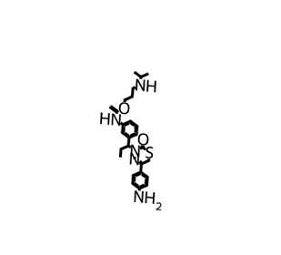 C=C(Nc1cccc(C(CC)N2N=C(c3ccc(N)cc3)CSC2=O)c1)OCCCNC(C)C